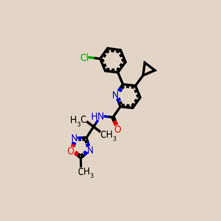 Cc1nc(C(C)(C)NC(=O)c2ccc(C3CC3)c(-c3cccc(Cl)c3)n2)no1